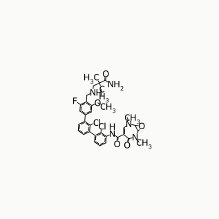 COc1cc(-c2cccc(-c3cccc(NC(=O)C4=CN(C)C5OC5N(C)C4=O)c3Cl)c2Cl)cc(F)c1CNCC(C)(C)C(N)=O